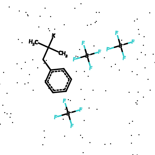 C[C](C)([K])Cc1ccccc1.F[B-](F)(F)F.F[B-](F)(F)F.F[B-](F)(F)F